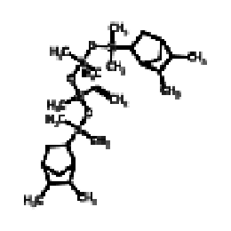 C=C[Si](C)(O[Si](C)(C)O[Si](C)(C)C1CC2CC1C(C)C2C)O[Si](C)(C)C1CC2CC1C(C)C2C